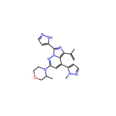 C=C(C)c1nc(-c2ccn[nH]2)n2nc(N3CCOCC3C)cc(-c3ccnn3C)c12